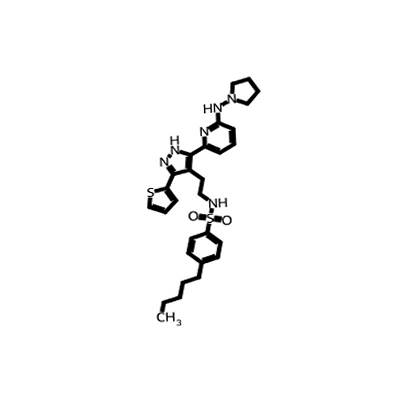 CCCCCc1ccc(S(=O)(=O)NCCc2c(-c3cccs3)n[nH]c2-c2cccc(NN3CCCC3)n2)cc1